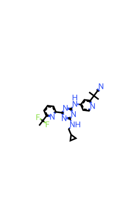 CC(F)(F)c1cccc(-c2nc(NCC3CC3)nc(Nc3ccnc(C(C)(C)C#N)c3)n2)n1